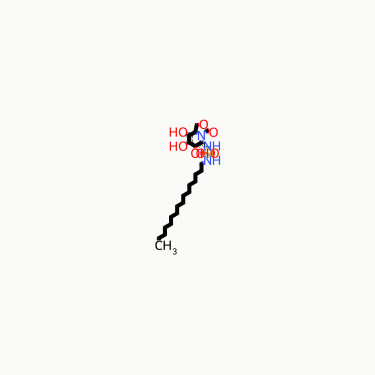 CCCCCCCCCCCCCCCCNS(=O)(=O)N[C@@H]1C(O)[C@@H](O)[C@H](O)C2COC(=O)N21